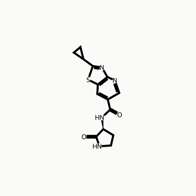 O=C(N[C@H]1CCNC1=O)c1cnc2nc(C3CC3)sc2c1